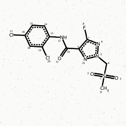 CS(=O)(=O)Cn1nc(F)c(C(=O)Nc2ccc(Cl)cc2Cl)n1